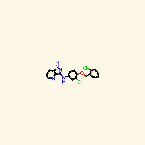 Clc1ccccc1COc1ccc(Nc2n[nH]c3cccnc23)cc1Cl